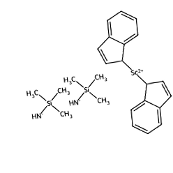 C1=C[CH]([Sc+2][CH]2C=Cc3ccccc32)c2ccccc21.C[Si](C)(C)[NH-].C[Si](C)(C)[NH-]